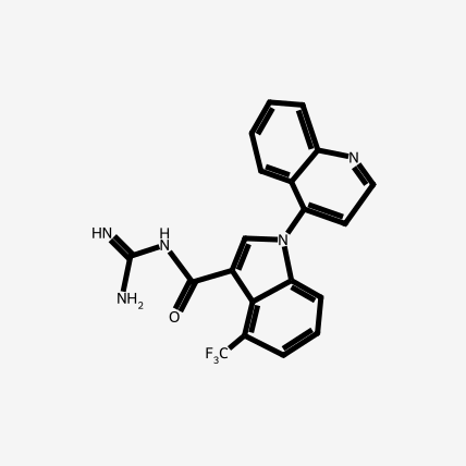 N=C(N)NC(=O)c1cn(-c2ccnc3ccccc23)c2cccc(C(F)(F)F)c12